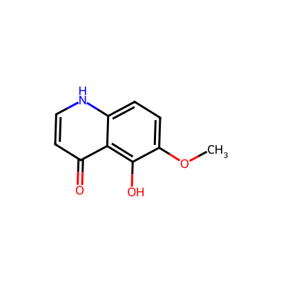 COc1ccc2[nH]ccc(=O)c2c1O